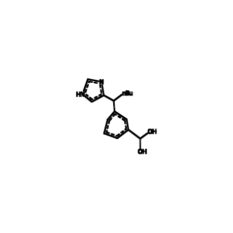 CCCCC(c1cccc(C(O)O)c1)c1c[nH]cn1